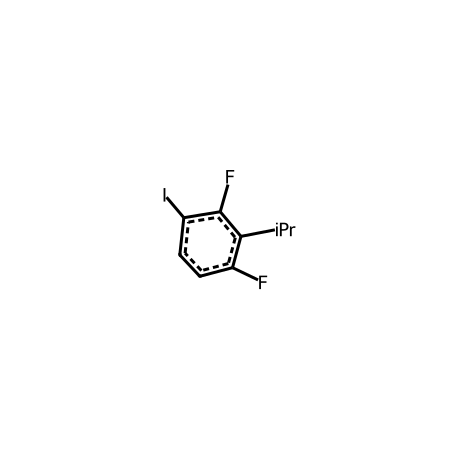 CC(C)c1c(F)ccc(I)c1F